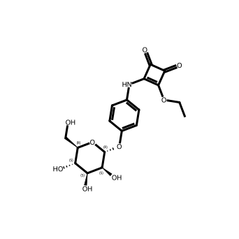 CCOc1c(Nc2ccc(O[C@H]3O[C@H](CO)[C@@H](O)[C@H](O)[C@@H]3O)cc2)c(=O)c1=O